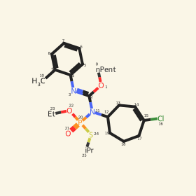 CCCCCOC(=Nc1ccccc1C)N(C1CC=C(Cl)CCC1)P(=O)(OCC)SC(C)C